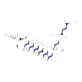 CCOC(=O)/C=C/C(=O)O.CCOC(=O)/C=C/C(=O)[O-].CCOC(=O)/C=C/C(=O)[O-].CCOC(=O)/C=C/C(=O)[O-].CCOC(=O)/C=C/C(=O)[O-].CCOC(=O)/C=C/C(=O)[O-].CCOC(=O)/C=C/C(=O)[O-].CCOC([O-])=C=CC(=O)[O-].COC(=O)/C=C/C(=O)OC.[Ca+2].[H+].[H+].[Mg+2].[Zn+2]